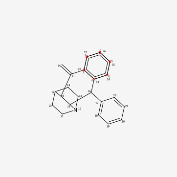 C=C(c1ccccc1)C1C2CCN(CC2)C1C(c1ccccc1)c1ccccc1